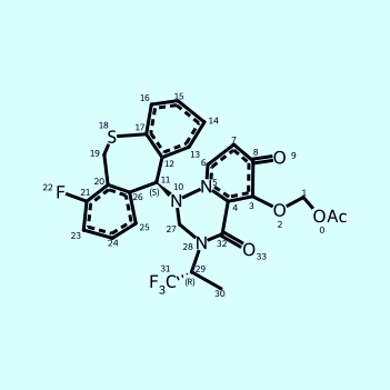 CC(=O)OCOc1c2n(ccc1=O)N([C@@H]1c3ccccc3SCc3c(F)cccc31)CN([C@H](C)C(F)(F)F)C2=O